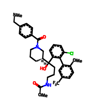 CNCc1ccc(C(=O)N2CCC[C@@H]([C@@](O)(CCCNC(=O)OC)c3cccc(Cl)c3-c3cc(C(F)(F)F)ccc3OC)C2)cc1